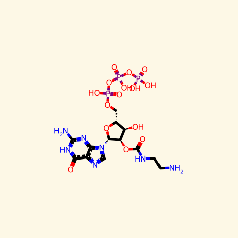 NCCNC(=O)O[C@@H]1[C@H](O)[C@@H](COP(=O)(O)OP(=O)(O)OP(=O)(O)O)O[C@H]1n1cnc2c(=O)[nH]c(N)nc21